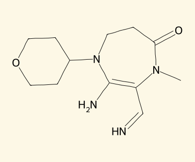 CN1C(=O)CCN(C2CCOCC2)C(N)=C1C=N